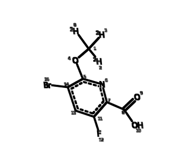 [2H]C([2H])([2H])Oc1nc(C(=O)O)c(F)cc1Br